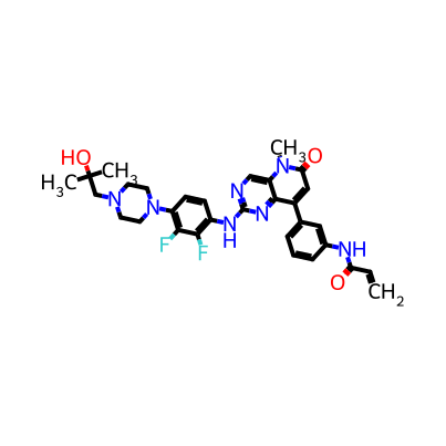 C=CC(=O)Nc1cccc(-c2cc(=O)n(C)c3cnc(Nc4ccc(N5CCN(CC(C)(C)O)CC5)c(F)c4F)nc23)c1